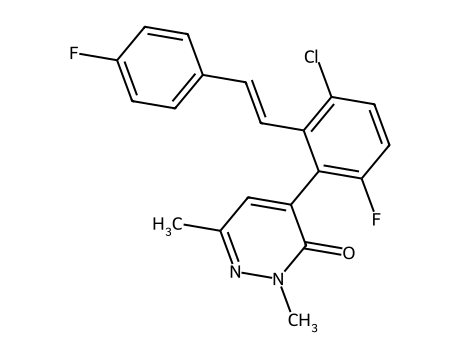 Cc1cc(-c2c(F)ccc(Cl)c2/C=C/c2ccc(F)cc2)c(=O)n(C)n1